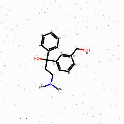 CC(C)N(CCC(O)(c1ccccc1)c1cccc(CO)c1)C(C)C